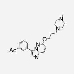 CC(=O)c1cccc(-c2cnc3ccc(OCCCN4CCN(C)CC4)nn23)c1